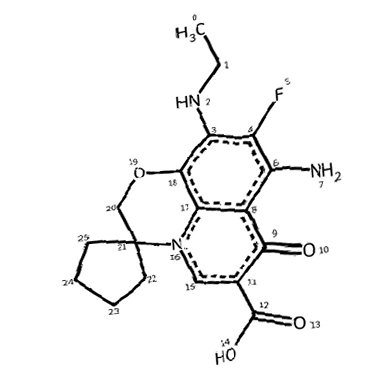 CCNc1c(F)c(N)c2c(=O)c(C(=O)O)cn3c2c1OCC31CCCC1